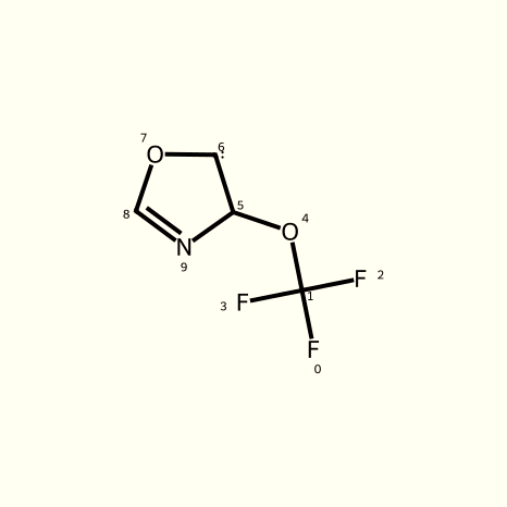 FC(F)(F)OC1[C]OC=N1